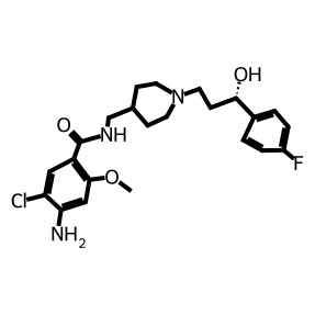 COc1cc(N)c(Cl)cc1C(=O)NCC1CCN(CC[C@H](O)c2ccc(F)cc2)CC1